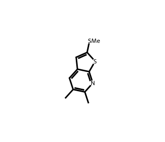 CSc1cc2cc(C)c(C)nc2s1